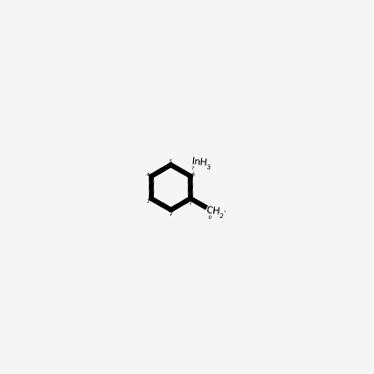 [CH2]C1CCCCC1.[InH3]